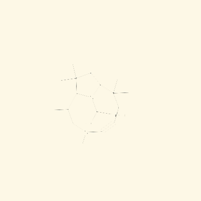 CCCCCCC(CCCCC)N1C2CC(C)(C)C1C(C)CN(I)C#CCC2(C)C